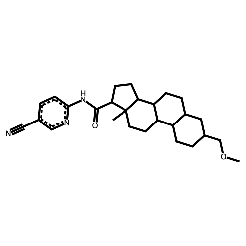 COCC1CCC2C(CCC3C2CCC2(C)C(C(=O)Nc4ccc(C#N)cn4)CCC32)C1